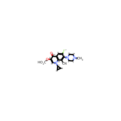 CN1CCN(c2c(F)cc3c(=O)c(OC(=O)O)cn(C4CC4)c3c2C#N)CC1